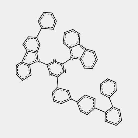 c1ccc(-c2ccc3c4ccccc4n(-c4nc(-c5cccc(-c6ccc(-c7ccccc7-c7ccccc7)cc6)c5)nc(-n5c6ccccc6c6ccccc65)n4)c3c2)cc1